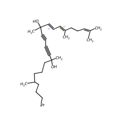 CC(C)=CCC/C(C)=C/C=C/C(C)(O)C#CC#CC(C)(O)CCCC(C)CCCC(C)C